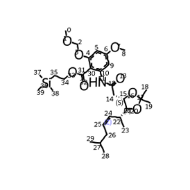 COCOc1cc(OC)cc(NC(=O)C[C@@H]2OC(C)(C)O[C@@H]2C(C)/C=C\CC(C)C)c1C(=O)OCC[Si](C)(C)C